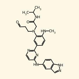 CNc1ccc(-c2nccc(Nc3ccc4[nH]ncc4c3)n2)cc1N(CCC=O)CC(=O)NC(C)C